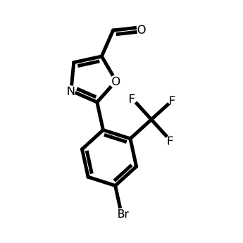 O=Cc1cnc(-c2ccc(Br)cc2C(F)(F)F)o1